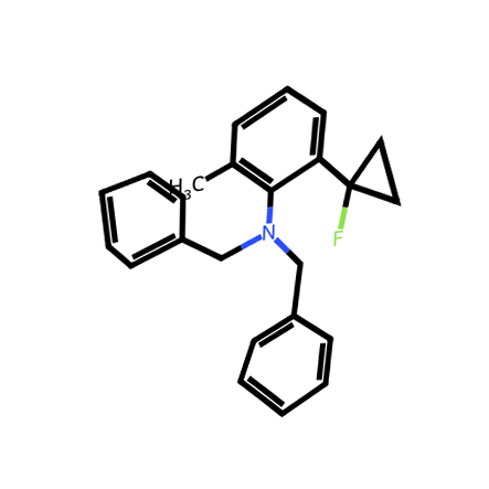 Cc1cccc(C2(F)CC2)c1N(Cc1ccccc1)Cc1ccccc1